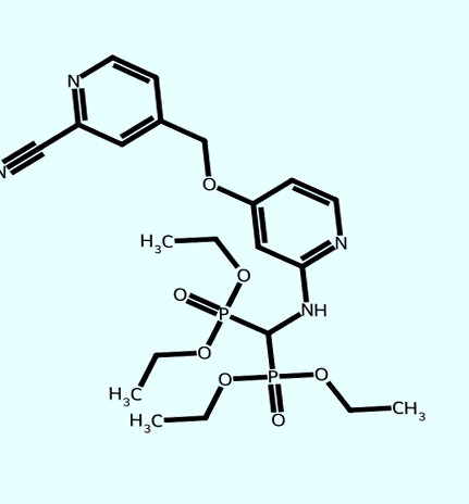 CCOP(=O)(OCC)C(Nc1cc(OCc2ccnc(C#N)c2)ccn1)P(=O)(OCC)OCC